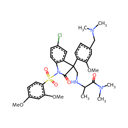 COc1ccc(S(=O)(=O)N2C(=O)C(CNC(C)C(=O)N(C)C)(c3ccc(CN(C)C)cc3OC)c3cc(Cl)ccc32)c(OC)c1